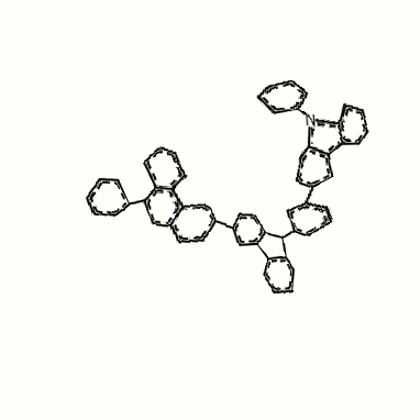 c1ccc(-c2cc3ccc(-c4ccc5c(c4)-c4ccccc4C5c4cccc(-c5ccc6c(c5)c5ccccc5n6-c5ccccc5)c4)cc3c3ccccc23)cc1